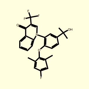 Cc1cc(F)cc(C)c1Oc1ccc(C(C)(C)O)cc1-n1cc(C(F)(F)F)c(=O)c2ccccc21